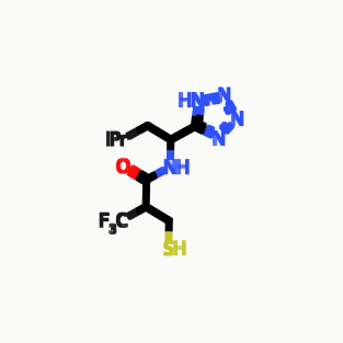 CC(C)CC(NC(=O)C(CS)C(F)(F)F)c1nnn[nH]1